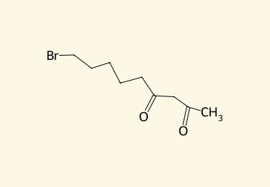 CC(=O)CC(=O)CCCCCBr